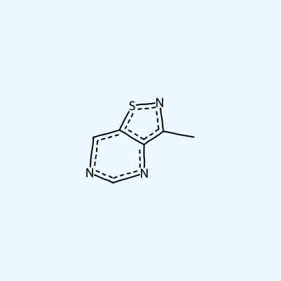 Cc1nsc2cncnc12